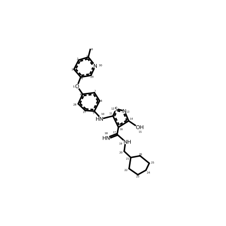 Cc1ccc(Oc2ccc(Nc3snc(O)c3C(=N)NCC3CCCCC3)cc2)cn1